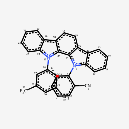 N#Cc1cccc(C(F)(F)F)c1-n1c2ccccc2c2ccc3c4ccccc4n(-c4cc(C(F)(F)F)cc(C(F)(F)F)c4)c3c21